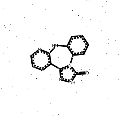 O=c1[nH]nc2n1-c1ccccc1Nc1ncccc1-2